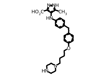 Cc1[nH]nc(C(=O)O)c1Nc1ccc(Cc2ccc(OCCCCN3CCNCC3)cc2)cc1